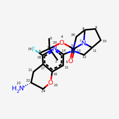 CC(C)(C)OC(=O)N1C2CCC1CN(c1cc3c(c(F)n1)C[C@@H](N)CO3)C2